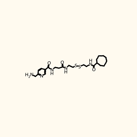 NCc1ccc(C(=O)NCCC(=O)NCCSSCCNC(=O)C2CCCCCCC2)cn1